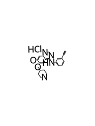 C#Cc1cccc(Nc2ncnc3cc(OC)c(OC4CCN(C)CC4)cc23)c1.Cl